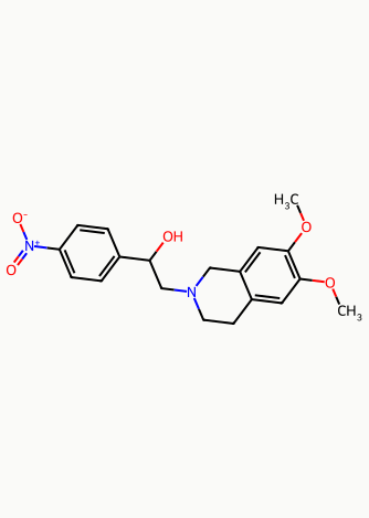 COc1cc2c(cc1OC)CN(CC(O)c1ccc([N+](=O)[O-])cc1)CC2